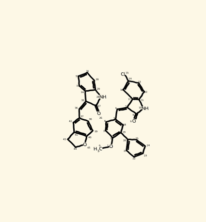 COc1ccc(C=C2C(=O)Nc3ccc(Cl)cc32)cc1-c1ccccc1.O=C1Nc2ccccc2C1=Cc1ccc2c(c1)CCO2